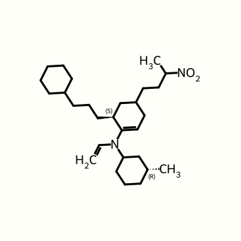 C=CN(C1=CCC(CCC(C)[N+](=O)[O-])C[C@@H]1CCCC1CCCCC1)C1CCC[C@@H](C)C1